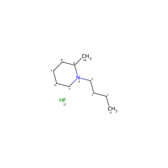 CCCCN1CCCCC1C.F